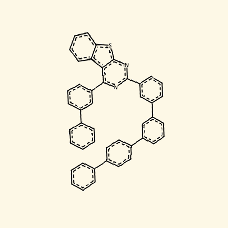 c1ccc(-c2ccc(-c3cccc(-c4cccc(-c5nc(-c6cccc(-c7ccccc7)c6)c6c(n5)sc5ccccc56)c4)c3)cc2)cc1